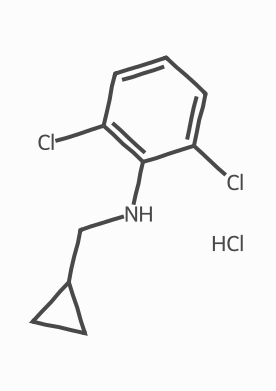 Cl.Clc1cccc(Cl)c1NCC1CC1